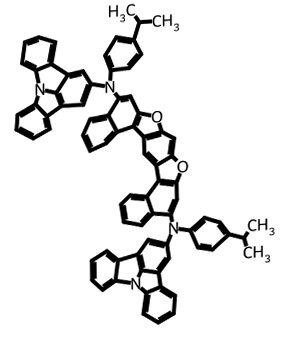 CC(C)c1ccc(N(c2cc3c4ccccc4n4c5ccccc5c(c2)c34)c2cc3oc4cc5oc6cc(N(c7ccc(C(C)C)cc7)c7cc8c9ccccc9n9c%10ccccc%10c(c7)c89)c7ccccc7c6c5cc4c3c3ccccc23)cc1